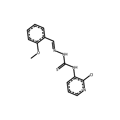 COc1ccccc1/C=N/NC(=S)Nc1cccnc1Cl